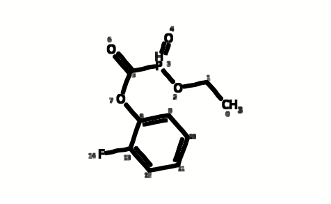 CCO[PH](=O)C(=O)Oc1ccccc1F